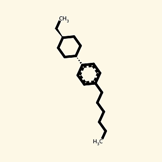 CCCCCCc1ccc([C@H]2CC[C@H](CC)CC2)cc1